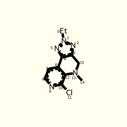 CCn1nc2c(n1)-c1ccnc(Cl)c1N(C)C2